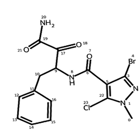 Cn1nc(Br)c(C(=O)NC(Cc2ccccc2)C(=O)C(N)=O)c1Cl